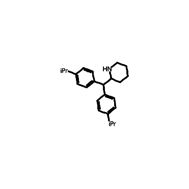 CC(C)c1ccc(C(c2ccc(C(C)C)cc2)C2CCCCN2)cc1